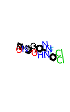 C=CC(=O)N1CC2CCC1CC2Oc1cc2c(Nc3ccc(Cl)c(Cl)c3F)ncnc2cc1OC